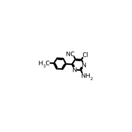 Cc1ccc(-c2nc(N)nc(Cl)c2C#N)cc1